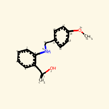 C=C(O)c1ccccc1NCc1ccc(OC)cc1